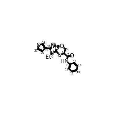 CCn1c(SC(COC)C(=O)Nc2ccccc2)nnc1-c1ccsc1